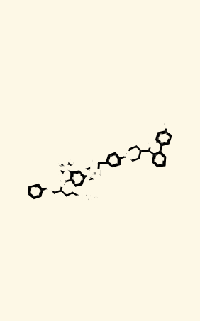 CNCCC(CSc1ccccc1)Nc1ccc(S(=O)(=O)NC(=O)c2ccc(N3CCC(C(O)c4ccccc4-c4ccc(Cl)cc4)CC3)cc2)cc1S(=O)(=O)C(F)(F)F